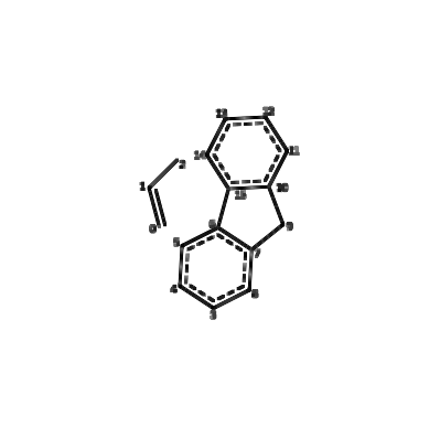 C=CC.c1ccc2c(c1)Cc1ccccc1-2